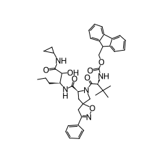 CCC[C@H](NC(=O)[C@@H]1CC2(CC(c3ccccc3)=NO2)CN1C(=O)[C@@H](NC(=O)OCC1c2ccccc2-c2ccccc21)C(C)(C)C)C(O)C(=O)NC1CC1